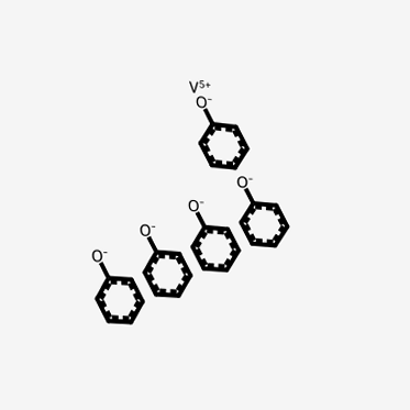 [O-]c1ccccc1.[O-]c1ccccc1.[O-]c1ccccc1.[O-]c1ccccc1.[O-]c1ccccc1.[V+5]